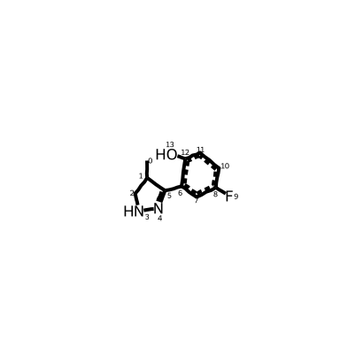 CC1CNN=C1c1cc(F)ccc1O